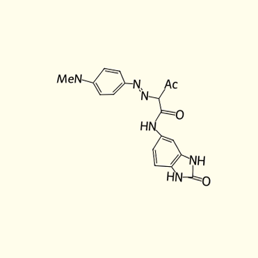 CNc1ccc(/N=N/C(C(C)=O)C(=O)Nc2ccc3[nH]c(=O)[nH]c3c2)cc1